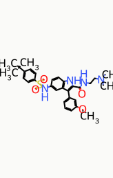 COc1cccc(-c2c(C(=O)NCCN(C)C)[nH]c3ccc(NS(=O)(=O)c4ccc(C(C)(C)C)cc4)cc23)c1